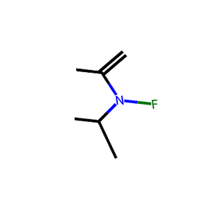 C=C(C)N(F)C(C)C